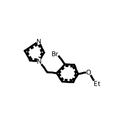 CCOc1ccc(Cn2ccnc2)c(Br)c1